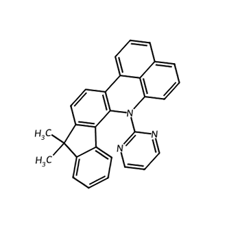 CC1(C)c2ccccc2-c2c1ccc1c2N(c2ncccn2)c2cccc3cccc-1c23